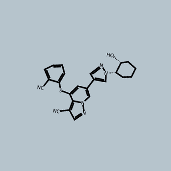 N#Cc1ccccc1Sc1cc(-c2cnn([C@H]3CCCC[C@H]3O)c2)cn2ncc(C#N)c12